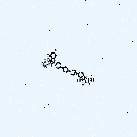 CCC(c1nc2ccc(N3CCN(c4ccc(-c5ccc(C(F)(F)C(O)(Cn6cnnn6)c6ccc(F)cc6F)nc5)cc4)CC3)cc2[nH]1)C(C)O